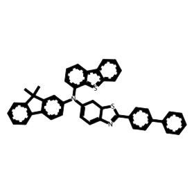 CC1(C)c2ccccc2-c2ccc(N(C3=CC=C4N=C(c5ccc(-c6ccccc6)cc5)SC4C3)c3cccc4c3sc3ccccc34)cc21